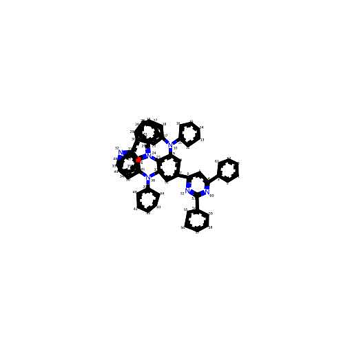 c1ccc(-c2cc(-c3cc(N(c4ccccc4)c4ccccc4)c(-n4c5ccccc5c5ncccc54)c(N(c4ccccc4)c4ccccc4)c3)nc(-c3ccccc3)n2)cc1